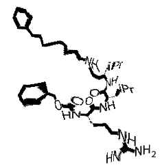 CC(C)C[C@H](NC(=O)[C@H](CCCNC(=N)N)NC(=O)OCc1ccccc1)C(=O)N[C@H](CNCCCCCCCc1ccccc1)C(C)C